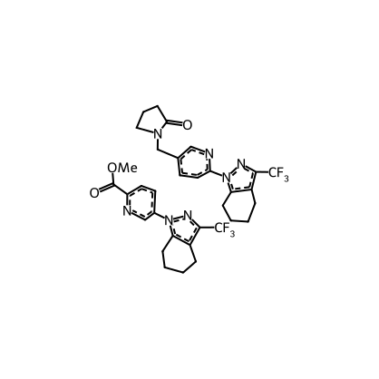 COC(=O)c1ccc(-n2nc(C(F)(F)F)c3c2CCCC3)cn1.O=C1CCCN1Cc1ccc(-n2nc(C(F)(F)F)c3c2CCCC3)nc1